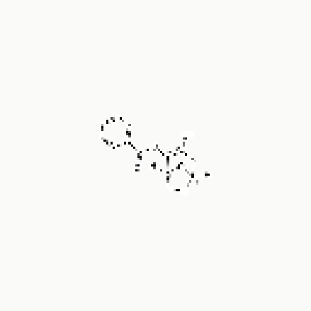 O=C(O[C@H]1[C@H](O)C[C@H]2OC[C@@H]1O2)c1ccccc1